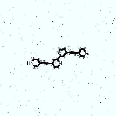 C(#Cc1ccnc(-c2cc(C#Cc3ccncc3)ccn2)c1)C1=CCNC=C1